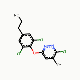 CC(C)c1cc(Oc2c(Cl)cc(CCC#N)cc2Cl)nnc1Cl